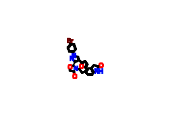 O=C1Cc2cc(CCN3C(=O)CO[C@@H]3c3nn(-c4ccc(Br)cc4)cc3-c3ccco3)ccc2N1